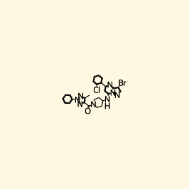 Cc1nn(-c2ccccc2)nc1C(=O)N1CCC(Nc2cc(-c3ccccc3Cl)nc3c(Br)cnn23)CC1